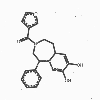 O=C(c1ccoc1)N1CCC2C=C(O)C(O)=CC2C(c2ccccc2)C1